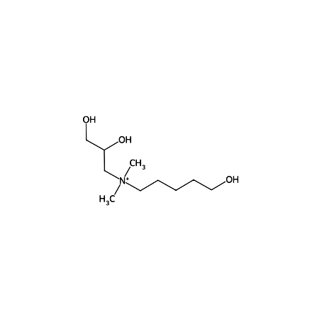 C[N+](C)(CCCCCO)CC(O)CO